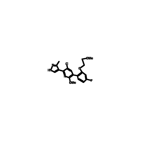 COCCOc1cc(F)ccc1-c1cc(Cl)c(-c2c[nH]nc2C)nc1OC